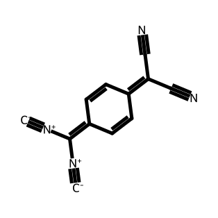 [C-]#[N+]C([N+]#[C-])=c1ccc(=C(C#N)C#N)cc1